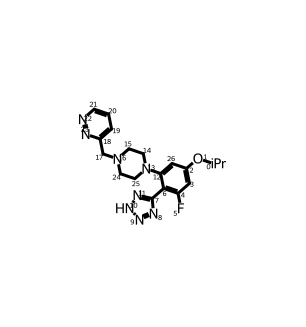 CC(C)Oc1cc(F)c(-c2nn[nH]n2)c(N2CCN(Cc3cccnn3)CC2)c1